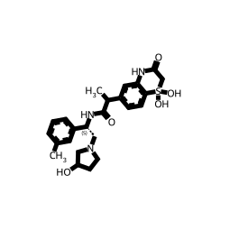 Cc1cccc([C@@H](CN2CCC(O)C2)NC(=O)C(C)c2ccc3c(c2)NC(=O)CS3(O)O)c1